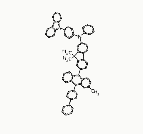 Cc1ccc2c(-c3ccc4c(c3)C(C)(C)c3cc(N(c5ccccc5)c5ccc(-n6c7ccccc7c7ccccc76)cc5)ccc3-4)c3ccccc3c(-c3ccc(-c4ccccc4)cc3)c2c1